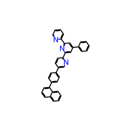 c1ccc(-c2cc(-c3ccccn3)nc(-c3ccc(-c4ccc(-c5cccc6ccccc56)cc4)cn3)c2)cc1